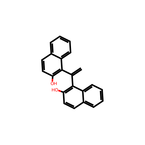 C=C(c1c(O)ccc2ccccc12)c1c(O)ccc2ccccc12